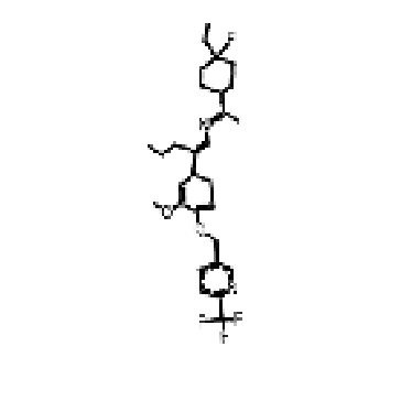 CCC/C(=C\N=C(/C)C1CCC(F)(CC)CC1)C1C=C(OC)C(OCc2ccc(C(F)(F)F)nc2)=CC1